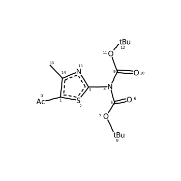 CC(=O)c1sc(N(C(=O)OC(C)(C)C)C(=O)OC(C)(C)C)nc1C